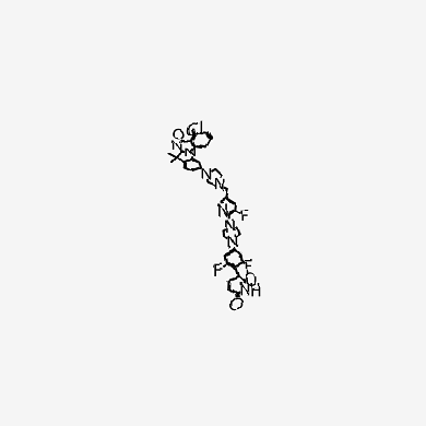 CC1(C)c2ccc(N3CCN(Cc4cnc(N5CCN(c6cc(F)c(C7CCC(=O)NC7=O)c(F)c6)CC5)c(F)c4)CC3)cc2-n2c1nc(=O)c1c(Cl)cccc12